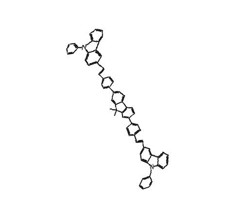 CC1(C)c2cc(-c3ccc(/C=C/c4ccc5c(c4)c4ccccc4n5-c4ccccc4)cc3)ccc2-c2ccc(-c3ccc(/C=C/c4ccc5c(c4)c4ccccc4n5-c4ccccc4)cc3)cc21